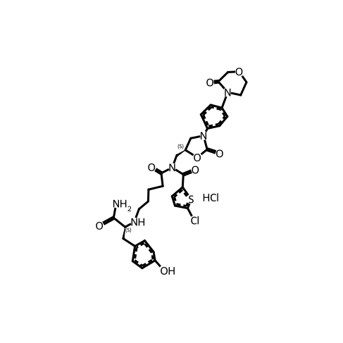 Cl.NC(=O)[C@H](Cc1ccc(O)cc1)NCCCCC(=O)N(C[C@H]1CN(c2ccc(N3CCOCC3=O)cc2)C(=O)O1)C(=O)c1ccc(Cl)s1